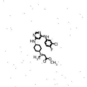 COC(=O)CN(C)[C@H]1CC[C@H](Nc2cc(Nc3ccc(F)c(Cl)c3)ncn2)CC1